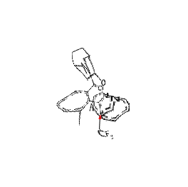 Cc1cccc(C(=O)N2C3CCC2C(Oc2cnc(C(F)(F)F)cn2)C3)c1-c1ccccn1